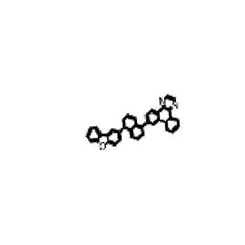 c1ccc2c(c1)oc1ccc(-c3cccc4c(-c5ccc6c(c5)c5ccccc5c5nccnc65)cccc34)cc12